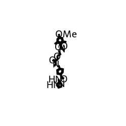 COc1cc(C)c(S(=O)(=O)N(C)CCOCC(=O)N(C)Cc2ccc(C(=O)NC3=NCCN3)cc2)c(C)c1